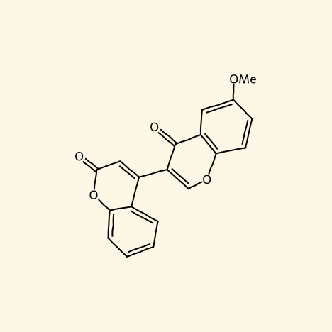 COc1ccc2occ(-c3cc(=O)oc4ccccc34)c(=O)c2c1